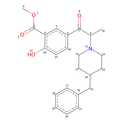 COC(=O)c1cc(C(=O)C(C)N2CCC(Cc3ccccc3)CC2)ccc1O